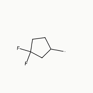 [CH2]C1CCC(F)(F)C1